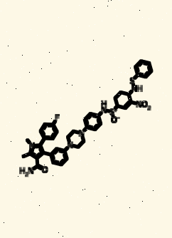 Cc1c(C(N)=O)c(-c2cccc(N3CCN(c4ccc(N[S+]([O-])C5C=C([N+](=O)[O-])C(NSc6ccccc6)CC5)cc4)CC3)c2)c(-c2ccc(F)cc2)n1C